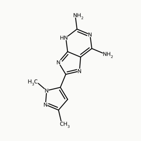 Cc1cc(-c2nc3[nH]c(N)nc(N)c-3n2)n(C)n1